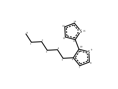 CCCCCCc1ccsc1-c1cccs1